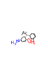 CC(=O)C(c1ccccc1)c1cc(N)ccc1O